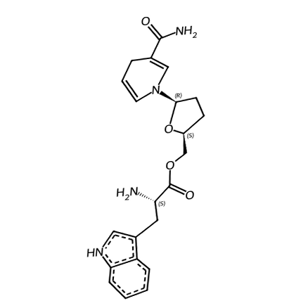 NC(=O)C1=CN([C@H]2CC[C@@H](COC(=O)[C@@H](N)Cc3c[nH]c4ccccc34)O2)C=CC1